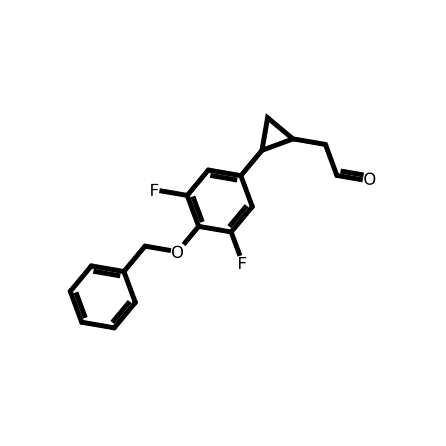 O=CCC1CC1c1cc(F)c(OCc2ccccc2)c(F)c1